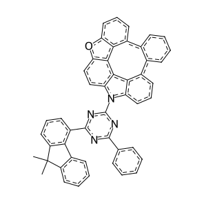 CC1(C)c2ccccc2-c2c(-c3nc(-c4ccccc4)nc(-n4c5cccc6c7ccccc7c7cccc8oc9ccc4c(c9c87)c65)n3)cccc21